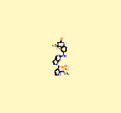 CN(c1ncccc1Cn1ccc2cnc(Nc3ccc4c(c3)C(C)(C)CC(=O)N4)nc21)S(C)(=O)=O